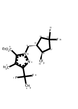 CCOC(=O)c1c(C)c(C(C)(F)F)nn1C[C@@H]1CC(F)(F)C[C@H]1C(F)(F)F